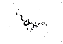 N#CCCn1ccc(N/C(N)=N\CC(F)(F)F)n1